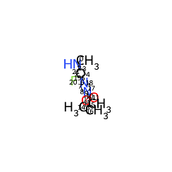 CNc1ccc(N2CCN(C(=O)OC(C)(C)C)CC2)c(F)c1